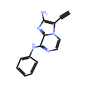 C#Cc1c(N)nc2c(Nc3ccccc3)nccn12